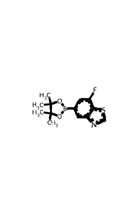 CC1(C)OB(c2cc(F)c3scnc3c2)OC1(C)C